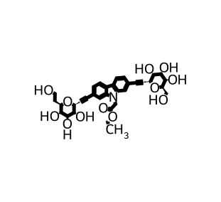 CCOC(=O)Cn1c2cc(C#C[C@H]3O[C@H](CO)[C@@H](O)[C@H](O)[C@@H]3O)ccc2c2ccc(C#C[C@H]3O[C@H](CCO)[C@@H](O)[C@H](O)[C@@H]3O)cc21